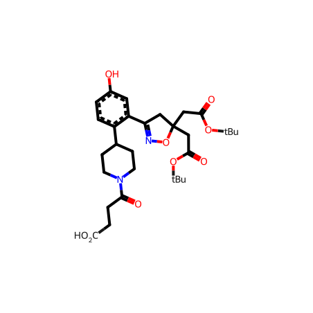 CC(C)(C)OC(=O)CC1(CC(=O)OC(C)(C)C)CC(c2cc(O)ccc2C2CCN(C(=O)CCC(=O)O)CC2)=NO1